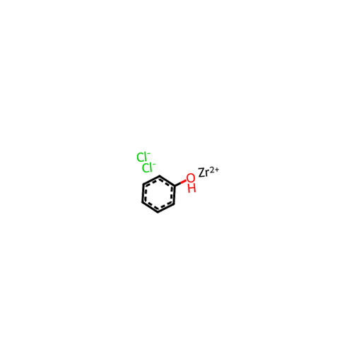 Oc1ccccc1.[Cl-].[Cl-].[Zr+2]